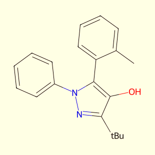 Cc1ccccc1-c1c(O)c(C(C)(C)C)nn1-c1ccccc1